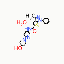 Cc1nn(-c2ccccc2)c2sc(C(=O)Nc3ccc(N4CCC(O)CC4)nc3)cc12.O